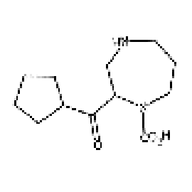 O=C(C1CCCC1)C1CNCCCN1C(=O)O